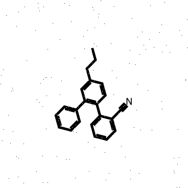 CCCc1ccc(-c2ccccc2C#N)c(-c2ccccc2)c1